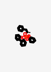 C[C@@H](Cc1ccccc1)OP(=O)(O)Oc1ccccc1.c1ccc(-c2ccccc2)cc1